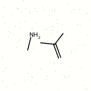 C=C(C)C.CN